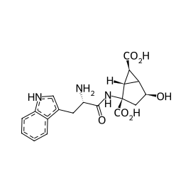 N[C@@H](Cc1c[nH]c2ccccc12)C(=O)N[C@@]1(C(=O)O)C[C@H](O)C2[C@H](C(=O)O)[C@H]21